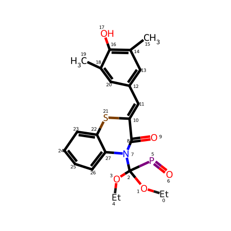 CCOC(OCC)(P=O)N1C(=O)C(=Cc2cc(C)c(O)c(C)c2)Sc2ccccc21